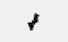 CCS(=O)(=O)OC1Cc2c(c(F)cc3nc(-c4cc(C)cc5nc(OC)cnc45)sc23)O1